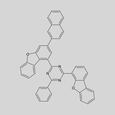 c1ccc(-c2nc(-c3cccc4c3oc3ccccc34)nc(-c3cc(-c4ccc5ccccc5c4)cc4oc5ccccc5c34)n2)cc1